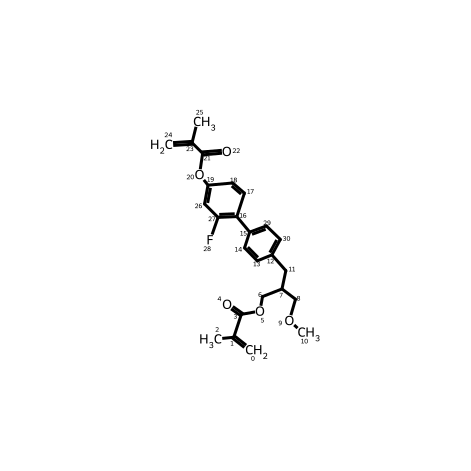 C=C(C)C(=O)OCC(COC)Cc1ccc(-c2ccc(OC(=O)C(=C)C)cc2F)cc1